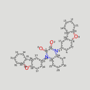 O=c1c(=O)n(-c2ccc3oc4ccccc4c3c2)c2ccccc2n1-c1ccc2oc3ccccc3c2c1